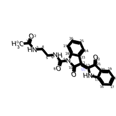 CC(=O)NCCNC(=O)N1C(=O)/C(=C2\Nc3ccccc3C2=O)c2ccccc21